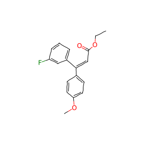 CCOC(=O)/C=C(/c1ccc(OC)cc1)c1cccc(F)c1